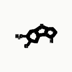 Cc1cc2nc3cc[nH]n3c2cc1Cl